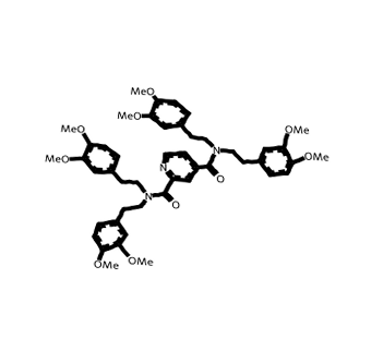 COc1ccc(CCN(CCc2ccc(OC)c(OC)c2)C(=O)c2ccnc(C(=O)N(CCc3ccc(OC)c(OC)c3)CCc3ccc(OC)c(OC)c3)c2)cc1OC